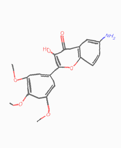 COc1cc(-c2oc3ccc(N)cc3c(=O)c2O)cc(OC)c1OC